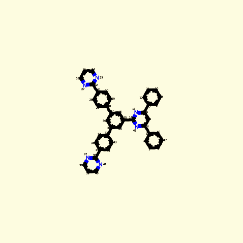 c1ccc(-c2cc(-c3ccccc3)nc(-c3cc(-c4ccc(-c5ncccn5)cc4)cc(-c4ccc(-c5ncccn5)cc4)c3)n2)cc1